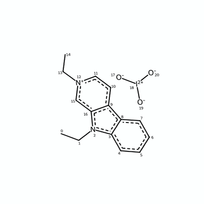 CCn1c2ccccc2c2cc[n+](CC)cc21.[O-][I+2]([O-])[O-]